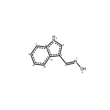 ON=Cc1c[nH]c2ccccc12